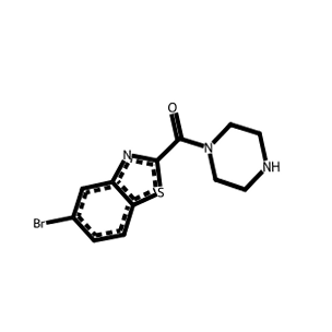 O=C(c1nc2cc(Br)ccc2s1)N1CCNCC1